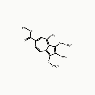 CCOC(=O)Oc1c2ccc(C(=O)NO)cc(C)c-2c(OC(=O)OCC)c1NC(C)=O